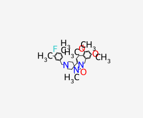 CCN1C(=O)N2Cc3cc(OC)cc(OC)c3[C@H](C)C=C2C12CCN(Cc1cc(C)c(F)c(C)c1)CC2